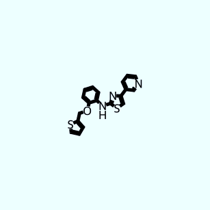 c1cncc(-c2csc(Nc3ccccc3OCc3cccs3)n2)c1